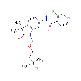 CC1(C)C(=O)N(COCC[Si](C)(C)C)c2cc(NC(=O)c3ccncc3F)ccc21